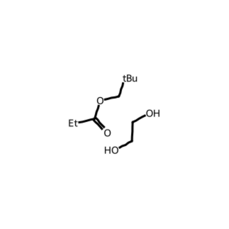 CCC(=O)OCC(C)(C)C.OCCO